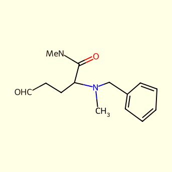 CNC(=O)C(CCC=O)N(C)Cc1ccccc1